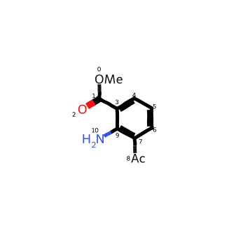 COC(=O)c1cccc(C(C)=O)c1N